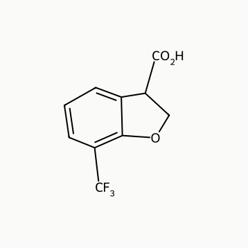 O=C(O)C1COc2c1cccc2C(F)(F)F